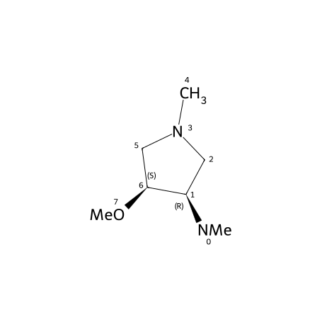 CN[C@@H]1CN(C)C[C@@H]1OC